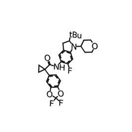 CC(C)(C)C1Cc2cc(NC(=O)C3(c4ccc5c(c4)OC(F)(F)O5)CC3)c(F)cc2N1C1CCOCC1